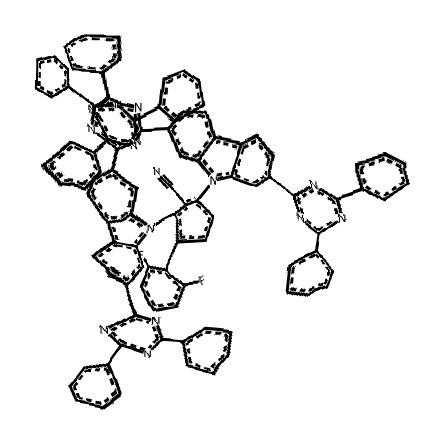 N#Cc1c(-n2c3cc(-c4nc(-c5ccccc5)nc(-c5ccccc5)n4)ccc3c3ccc(-c4nc(-c5ccccc5)nc(-c5ccccc5)n4)cc32)ccc(-c2c(F)cccc2F)c1-n1c2cc(-c3nc(-c4ccccc4)nc(-c4ccccc4)n3)ccc2c2ccc(-c3nc(-c4ccccc4)nc(-c4ccccc4)n3)cc21